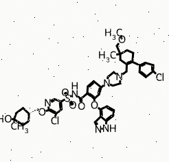 COCC1(C)CCC(c2ccc(Cl)cc2)=C(CN2CCN(c3ccc(C(=O)NS(=O)(=O)c4cnc(OC[C@H]5CC[C@@](C)(O)CC5)c(Cl)c4)c(Oc4cccc5[nH]ncc45)c3)CC2)C1